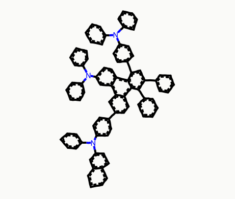 c1ccc(-c2cc(-c3ccc(N(c4ccccc4)c4ccccc4)cc3)c3c4ccc(N(c5ccccc5)c5ccccc5)cc4c4cc(-c5ccc(N(c6ccccc6)c6ccc7ccccc7c6)cc5)ccc4c3c2-c2ccccc2)cc1